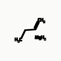 C=CCC.[MgH2]